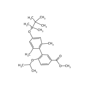 COC(=O)c1ccc(OC(C)C)c(-c2c(C)cc(O[Si](C)(C)C(C)(C)C)cc2C)c1